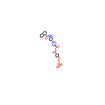 CS(=O)(=O)OCCOc1ccc(C(=O)CCC(=O)N2CCN(c3ccc(NC(=O)c4cccc5ccccc45)cc3)CC2)cc1